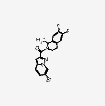 CC1c2cc(F)c(F)cc2CCN1C(=O)c1cc2ccc(Br)cn2n1